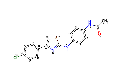 CC(=O)Nc1ccc(Nc2nc(-c3ccc(Cl)cc3)cs2)cc1